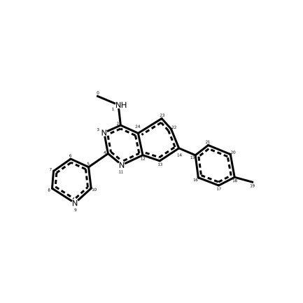 CNc1nc(-c2cccnc2)nc2cc(-c3ccc(C)cc3)ccc12